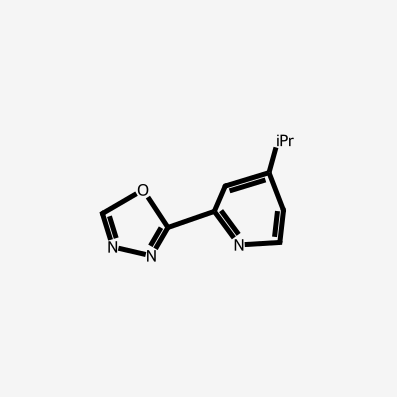 CC(C)c1ccnc(-c2nnco2)c1